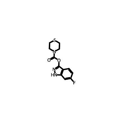 O=C(Oc1n[nH]c2cc(F)ccc12)N1CCSCC1